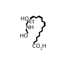 CC/C=C\C/C=C\C/C=C\CCCCCCCC(=O)O.OCCNCCO